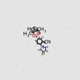 CC1(C)OB(c2ccc(N3CCC(F)C3)c(C#N)c2)OC1(C)C